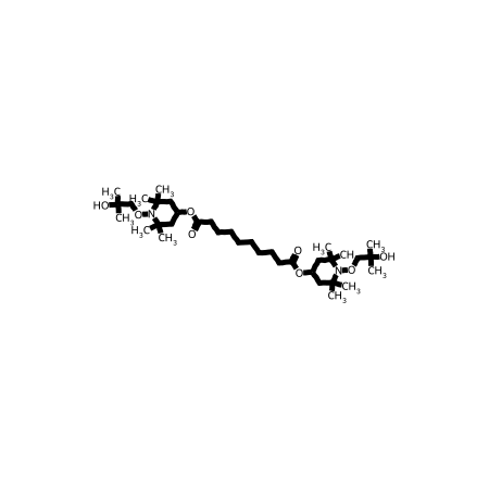 CC(C)(O)CON1C(C)(C)CC(OC(=O)CCCCCCCCC(=O)OC2CC(C)(C)N(OCC(C)(C)O)C(C)(C)C2)CC1(C)C